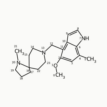 COc1cc(C)c2[nH]ccc2c1CN1CCC2(CCCN2C)CC1